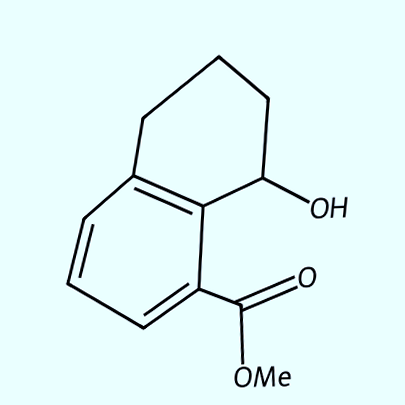 COC(=O)c1cccc2c1C(O)CCC2